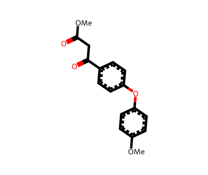 COC(=O)CC(=O)c1ccc(Oc2ccc(OC)cc2)cc1